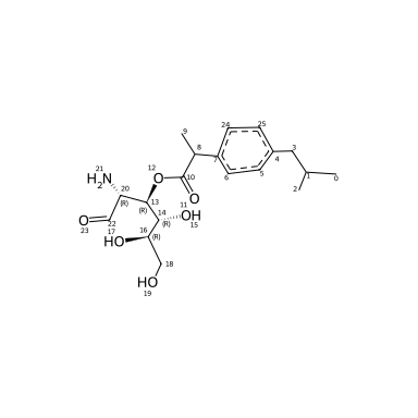 CC(C)Cc1ccc(C(C)C(=O)O[C@@H]([C@H](O)[C@H](O)CO)[C@@H](N)C=O)cc1